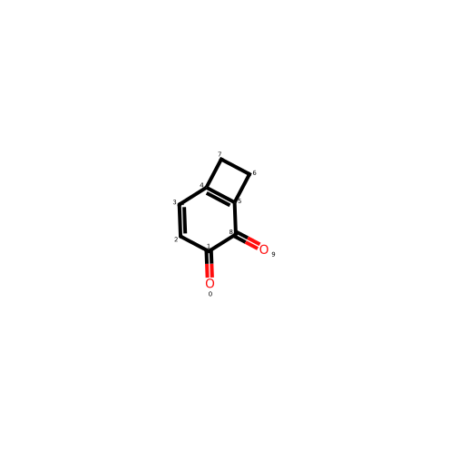 O=C1C=[C]C2=C(CC2)C1=O